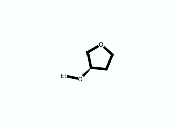 CCO[C@@H]1CCOC1